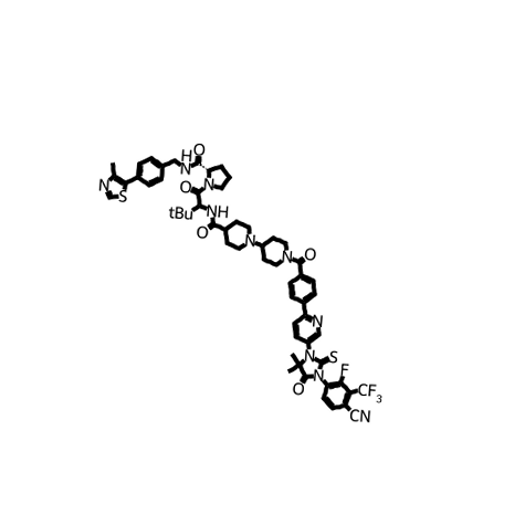 Cc1ncsc1-c1ccc(CNC(=O)[C@@H]2CCCN2C(=O)C(NC(=O)C2CCN(C3CCN(C(=O)c4ccc(-c5ccc(N6C(=S)N(c7ccc(C#N)c(C(F)(F)F)c7F)C(=O)C6(C)C)cn5)cc4)CC3)CC2)C(C)(C)C)cc1